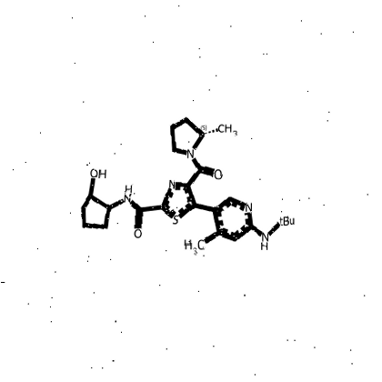 Cc1cc(NC(C)(C)C)ncc1-c1sc(C(=O)NC2CCCC2O)nc1C(=O)N1CCC[C@@H]1C